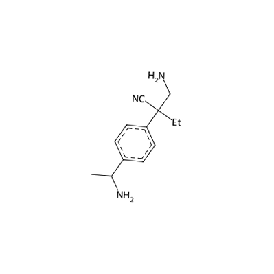 CCC(C#N)(CN)c1ccc(C(C)N)cc1